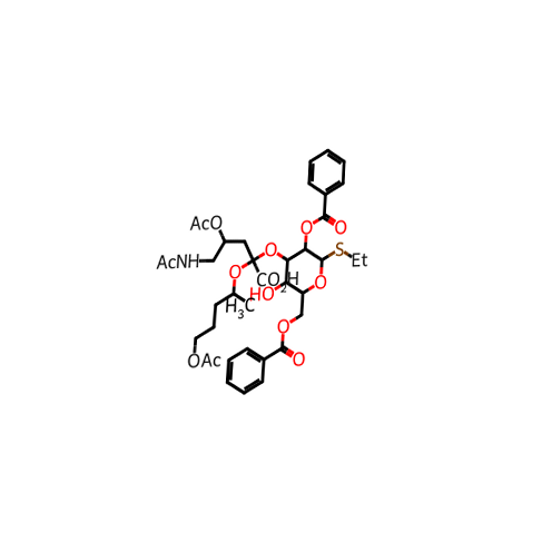 CCSC1OC(COC(=O)c2ccccc2)C(O)C(OC(CC(CNC(C)=O)OC(C)=O)(OC(C)CCCOC(C)=O)C(=O)O)C1OC(=O)c1ccccc1